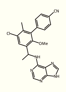 COc1c(C(C)Nc2ncnc3[nH]cnc23)cc(Cl)c(C)c1-c1ccc(C#N)cc1